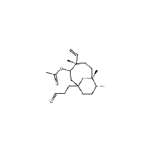 C=C[C@]1(C)CC[C@@]2(C)CC(CCC=O)(CCC2C)CC1OC(C)=O